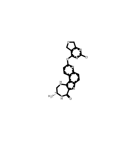 C[C@@H]1CNc2c(sc3ccc4nc(Oc5nc(Cl)nc6c5COC6)ccc4c23)C(=O)N1